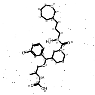 CC(COC(c1cccc(Cl)c1)C1CCCN(C(=O)N(N)CCCC2CCCCOC2)C1)NC(=O)O